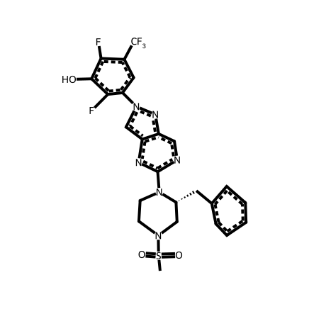 CS(=O)(=O)N1CCN(c2ncc3nn(-c4cc(C(F)(F)F)c(F)c(O)c4F)cc3n2)[C@H](Cc2ccccc2)C1